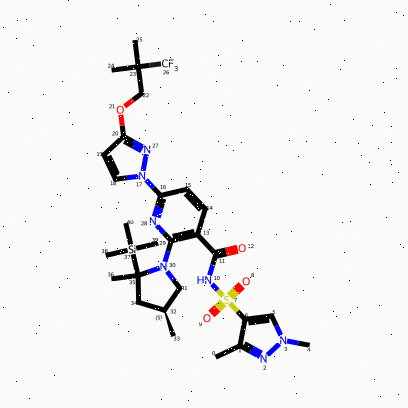 Cc1nn(C)cc1S(=O)(=O)NC(=O)c1ccc(-n2ccc(OCC(C)(C)C(F)(F)F)n2)nc1N1C[C@@H](C)CC1(C)[Si](C)(C)C